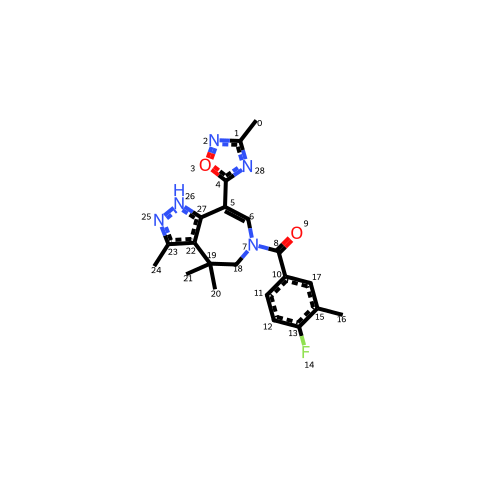 Cc1noc(C2=CN(C(=O)c3ccc(F)c(C)c3)CC(C)(C)c3c(C)n[nH]c32)n1